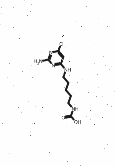 Nc1nc(Cl)cc(NCCCCCNC(=O)O)n1